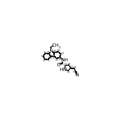 CCn1c2ccccc2c2cc(NC(=O)[C@@H]3CC(=CC#N)CN3)ccc21